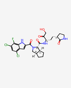 O=C1NCC[C@H]1CC[C@H](NC(=O)[C@@H]1[C@H]2CCC[C@H]2CN1C(=O)c1cc2c(Cl)cc(Cl)c(F)c2[nH]1)C(=O)CO